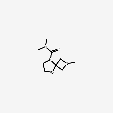 CN1CC2(C1)OCCN2C(=O)N(C)C